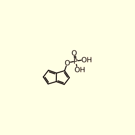 O=P(O)(O)OC1=CC=C2C=CC=C21